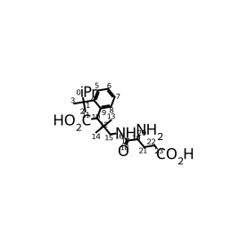 CC(C)C(C)(C)c1ccccc1C(C(=O)O)C(C)(C)CNC(=O)[C@@H](N)CCC(=O)O